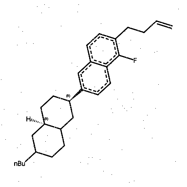 C=CCCc1ccc2cc([C@@H]3CC[C@@H]4CC(CCCC)CCC4C3)ccc2c1F